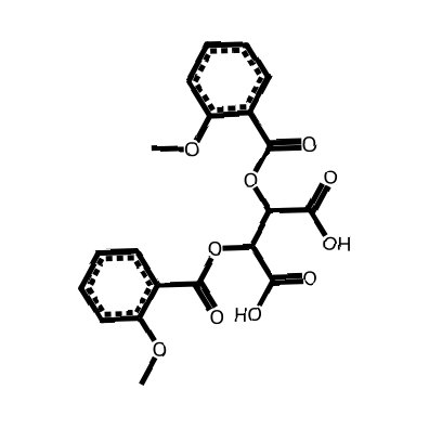 COc1ccccc1C(=O)OC(C(=O)O)C(OC(=O)c1ccccc1OC)C(=O)O